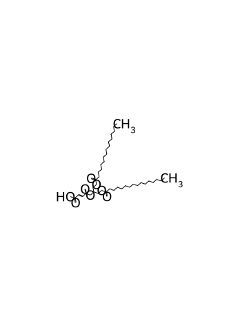 CCCCCCCCCCCCCCCC(=O)OCC(COC(=O)CCCCCCCCCCCCCCC)OC(=O)/C=C/C(=O)O